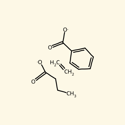 C=C.CCCC([O])=O.[O]C(=O)c1ccccc1